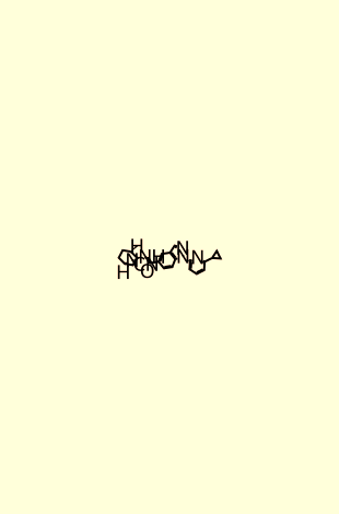 N#CN1[C@H]2CC[C@@H]1[C@H](NC(=O)c1ccc3c(cnn3-c3cccc(C4CC4)n3)c1)C2